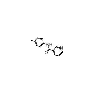 Cc1ccc(NC(=O)c2cccnc2)cc1